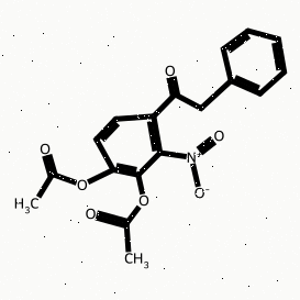 CC(=O)Oc1ccc(C(=O)Cc2ccccc2)c([N+](=O)[O-])c1OC(C)=O